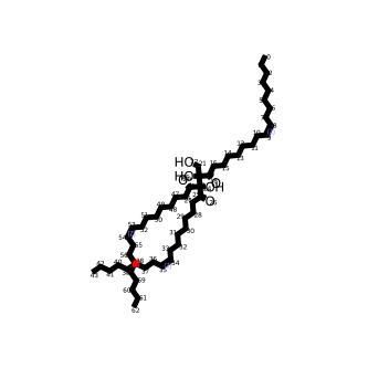 CCCCCCCC/C=C\CCCCCCCC(=O)C(O)(CO)C(O)(C(=O)CCCCCCC/C=C\CCCCCCCC)C(=O)CCCCCCC/C=C\CCCCCCCC